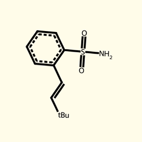 CC(C)(C)C=Cc1ccccc1S(N)(=O)=O